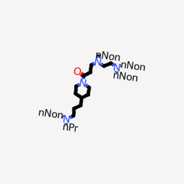 [CH2]CCN(CCCCCCCCC)CCCC1CCN(C(=O)CCN(CCCCCCCCC)CCN(CCCCCCCCC)CCCCCCCCC)CC1